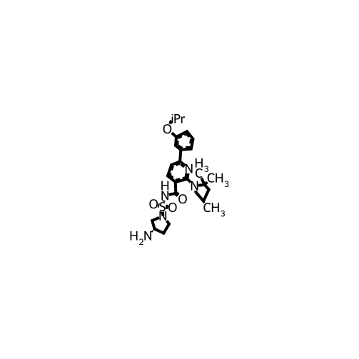 CC(C)Oc1cccc(-c2ccc(C(=O)NS(=O)(=O)N3CC[C@H](N)C3)c(N3C[C@@H](C)CC3(C)C)n2)c1